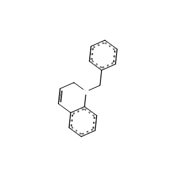 Br.C1=Cc2ccccc2N(Cc2ccccc2)C1